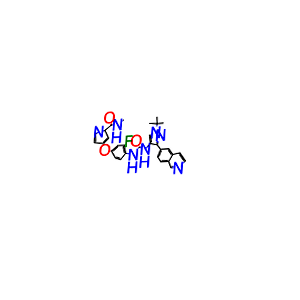 CNC(=O)c1cc(Oc2ccc(NC(=O)Nc3cn(C(C)(C)C)nc3-c3ccc4cnccc4c3)c(F)c2)ccn1